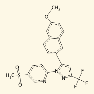 COc1ccc2cc(-c3cc(C(F)(F)F)nn3-c3ccc(S(C)(=O)=O)cn3)ccc2c1